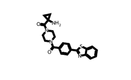 NC1(C(=O)N2CCN(C(=O)c3ccc(-c4nc5ccccc5s4)cc3)CC2)CC1